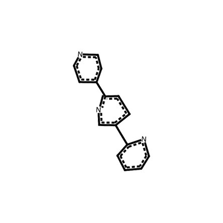 c1ccc(-c2ccc(-c3ccncc3)nc2)nc1